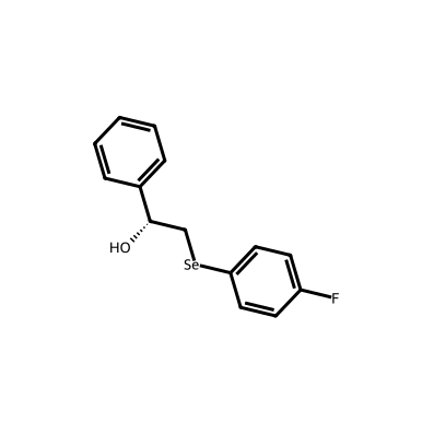 O[C@@H](C[Se]c1ccc(F)cc1)c1ccccc1